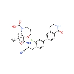 CC(C)(C)C1(C(=O)N[C@H](C#N)Cc2ccc(-c3ccc4c(c3)CCNC4=O)cc2F)CN(C(=O)O)CCCO1